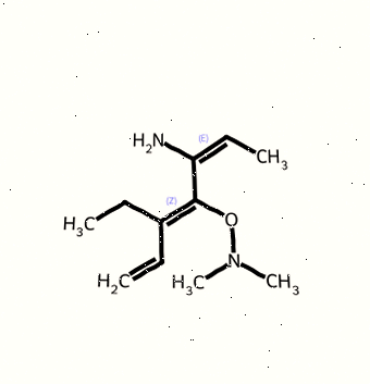 C=C/C(CC)=C(ON(C)C)/C(N)=C\C